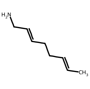 CC=CCCC=CCN